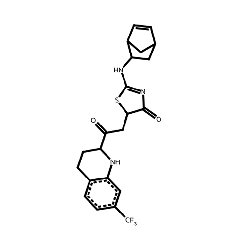 O=C(CC1SC(NC2CC3C=CC2C3)=NC1=O)C1CCc2ccc(C(F)(F)F)cc2N1